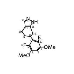 COc1cc(OC)c(F)c([C@H]2CCc3cn[nH]c3C2)c1F